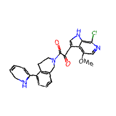 COc1cnc(Cl)c2[nH]cc(C(=O)C(=O)N3CCc4c(cccc4C4=CC=CCN4)C3)c12